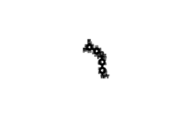 CCCC1CCC(C2CCC(C(F)(F)Oc3ccc(-c4cc(F)cc(F)c4)cc3)CC2)CC1